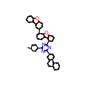 CC1C=CC(c2nc(-c3ccc4c(ccc5ccccc54)c3)nc(-c3cccc4oc5c(-c6ccc7oc8ccccc8c7c6)cccc5c34)n2)=CC1